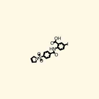 O=C(Nc1ccc(I)cc1C(=O)O)c1ccc(S(=O)(=O)N2CC=CC2)cc1